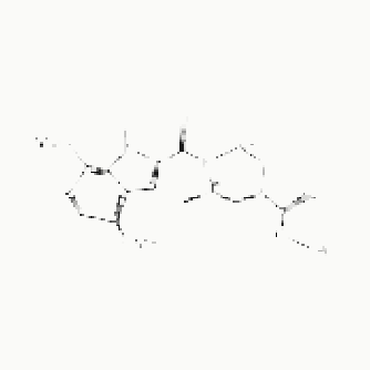 COc1ccc(OC)c2[nH]c(C(=O)N3[C@H](C)CN(C(=O)OC(C)(C)C)C[C@H]3C)cc12